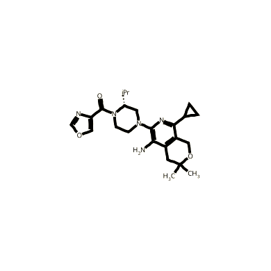 CC(C)[C@@H]1CN(c2nc(C3CC3)c3c(c2N)CC(C)(C)OC3)CCN1C(=O)c1cocn1